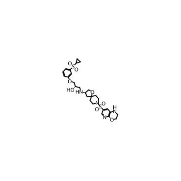 O=S(=O)(c1cccc(OC[C@@H](O)CN[C@H]2COC3(CCN(S(=O)(=O)c4cnc5c(c4)NCCO5)CC3)C2)c1)C1CC1